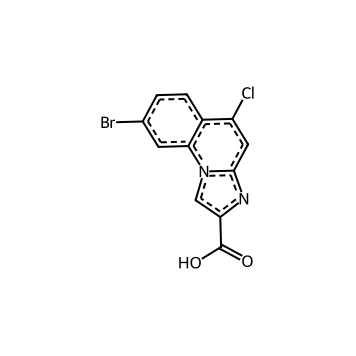 O=C(O)c1cn2c(cc(Cl)c3ccc(Br)cc32)n1